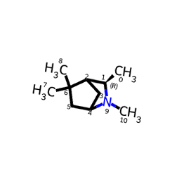 C[C@@H]1C2CC(CC2(C)C)N1C